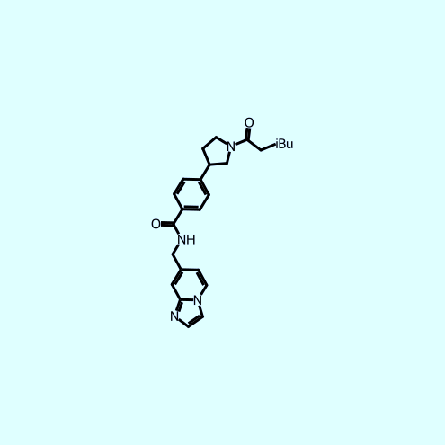 CCC(C)CC(=O)N1CCC(c2ccc(C(=O)NCc3ccn4ccnc4c3)cc2)C1